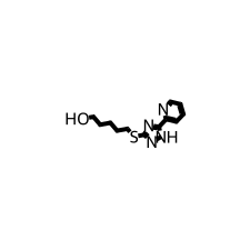 OCCCCCSc1n[nH]c(-c2ccccn2)n1